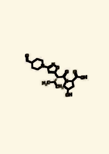 CC(C)[C@@H](C(=O)N1CC(O)CC1C(=O)O)c1cc(N2CCC(C=O)CC2)no1